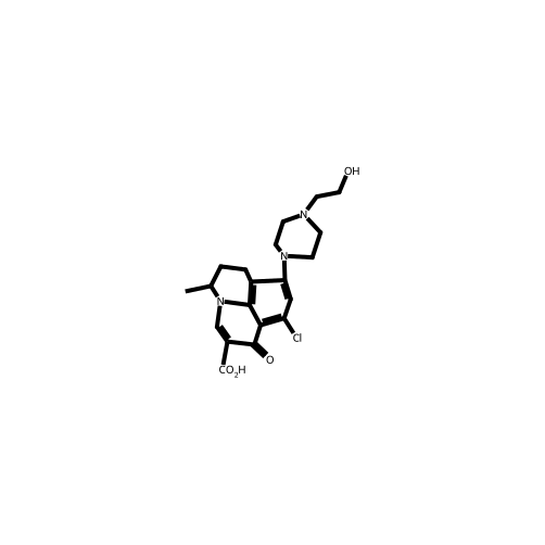 CC1CCc2c(N3CCN(CCO)CC3)cc(Cl)c3c(=O)c(C(=O)O)cn1c23